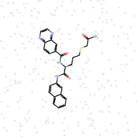 O=C(N[C@@H](CCCSCC(=O)C(F)(F)F)C(=O)Nc1ccc2ccccc2c1)c1ccc2nccnc2c1